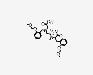 COCOc1ccccc1CC(C(N)=O)N(C)CCN(CC(=O)O)Cc1ccccc1OCOC